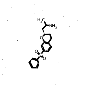 CC(N)C[C@H]1CCc2ccc(S(=O)(=O)c3ccccc3)cc2O1